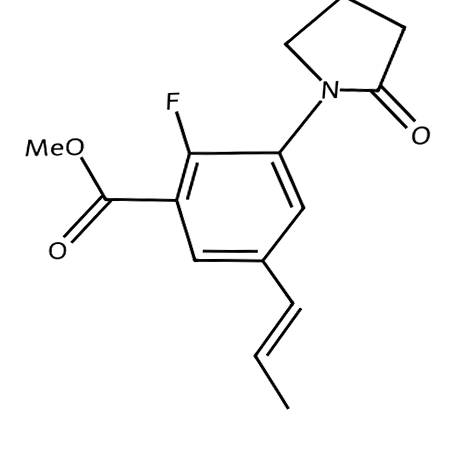 C/C=C/c1cc(C(=O)OC)c(F)c(N2CCCC2=O)c1